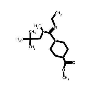 CC/N=C(\N(C)CC(C)(C)C)N1CCC(C(=O)OC)CC1